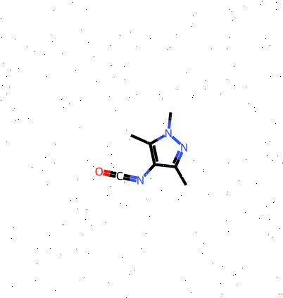 Cc1nn(C)c(C)c1N=C=O